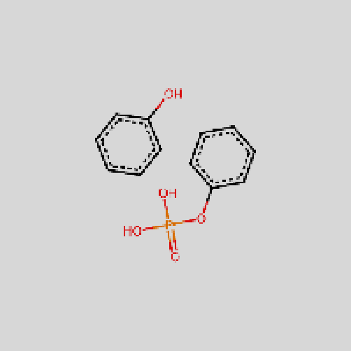 O=P(O)(O)Oc1ccccc1.Oc1ccccc1